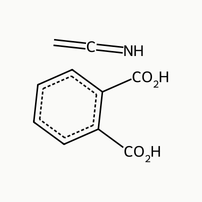 C=C=N.O=C(O)c1ccccc1C(=O)O